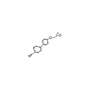 N#Cc1ccc(-c2ccc(OCC3CO3)cc2)cc1